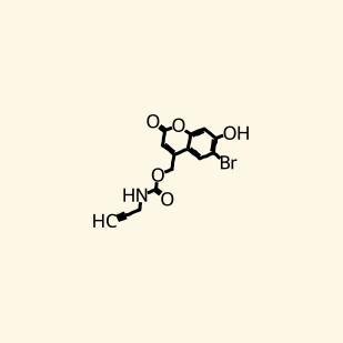 C#CCNC(=O)OCc1cc(=O)oc2cc(O)c(Br)cc12